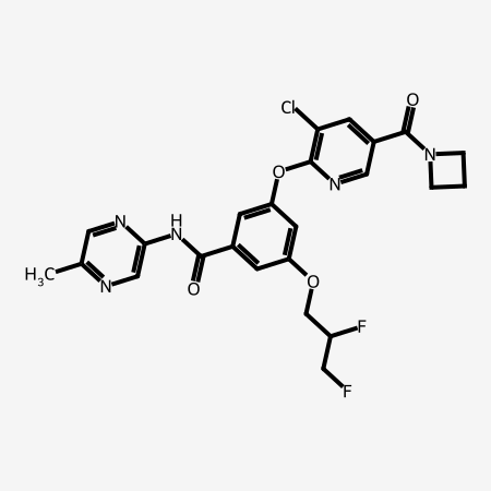 Cc1cnc(NC(=O)c2cc(OCC(F)CF)cc(Oc3ncc(C(=O)N4CCC4)cc3Cl)c2)cn1